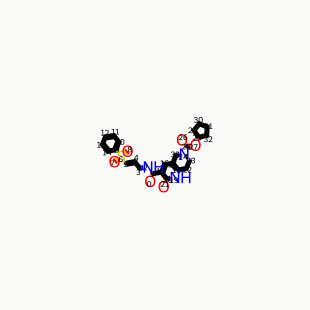 O=C(NC/C=C/S(=O)(=O)c1ccccc1)c1cc2c([nH]c1=O)CCN(C(=O)OC1CCCC1)C2